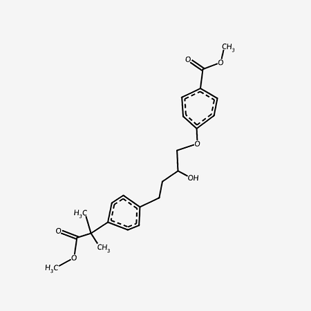 COC(=O)c1ccc(OCC(O)CCc2ccc(C(C)(C)C(=O)OC)cc2)cc1